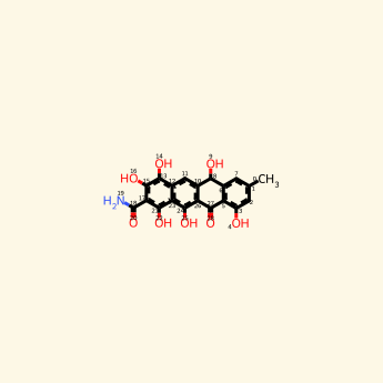 Cc1cc(O)c2c(c1)C(O)c1cc3c(O)c(O)c(C(N)=O)c(O)c3c(O)c1C2=O